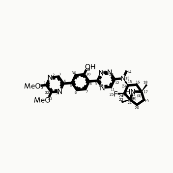 COc1ncc(-c2ccc(-c3ncc(N(C)[C@H]4C[C@]5(C)CC[C@@](C)(N5)[C@H]4F)nn3)c(O)c2)nc1OC